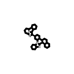 c1ccc2c(c1)ccc1c3ccc(-c4nc5cccc6c7ccccc7c4n56)cc3n3c4ccccc4nc3c21